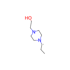 CC[CH]N1CCN(CCO)CC1